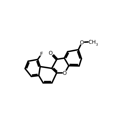 COc1ccc2oc3ccc4cccc(F)c4c3c(=O)c2c1